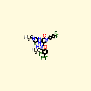 C[C@@H](NC(=O)c1cn(C2CC3(C2)CC(F)(F)C3)c(=O)cc1N[C@H]1CCN(C)C[C@H]1F)c1cccc(C(F)F)c1F